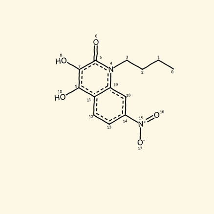 CCCCn1c(=O)c(O)c(O)c2ccc([N+](=O)[O-])cc21